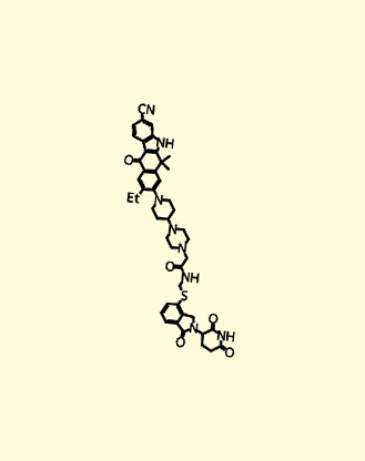 CCc1cc2c(cc1N1CCC(N3CCN(CC(=O)NCSc4cccc5c4CN(C4CCC(=O)NC4=O)C5=O)CC3)CC1)C(C)(C)c1[nH]c3cc(C#N)ccc3c1C2=O